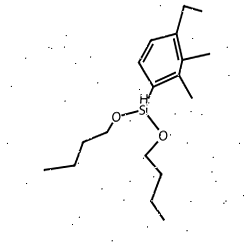 CCCCO[SiH](OCCCC)c1ccc(CC)c(C)c1C